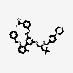 Cc1cccc(OCc2ccccc2)c1-c1cc(OCC(CC(C)(C)C)NCc2ccc(N3CCOCC3)cn2)nc(NSc2cccc(C(=O)O)c2)n1